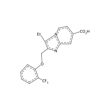 CCc1c(COc2ccccc2C(F)(F)F)nc2cc(C(=O)O)ccn12